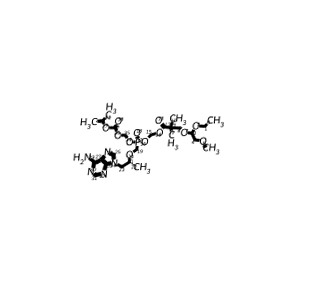 CCOC(COC)OCC(C)(C)C(=O)OCOP(=O)(CO[C@H](C)Cn1cnc2c(N)ncnc21)OCOC(=O)OC(C)C